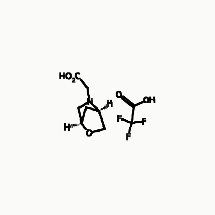 O=C(O)C(F)(F)F.O=C(O)CN1C[C@H]2C[C@@H]1CO2